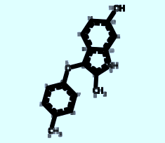 Cc1ccc(Oc2c(C)[nH]c3cc(O)ccc23)cc1